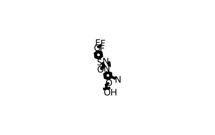 CC(C)(O)COc1ccc(-n2ccnc(Sc3ccc(OC(F)(F)F)cc3)c2=O)cc1C#N